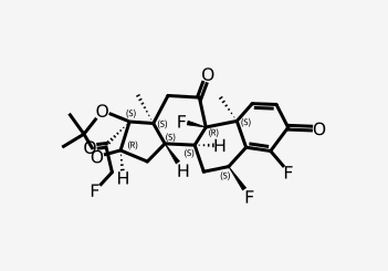 CC1(C)O[C@@H]2C[C@H]3[C@@H]4C[C@H](F)C5=C(F)C(=O)C=C[C@]5(C)[C@@]4(F)C(=O)C[C@]3(C)[C@]2(C(=O)CF)O1